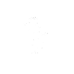 COC(=O)c1ccc(C(=O)c2ccc(S)cc2)cc1